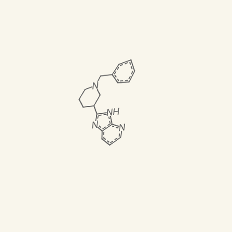 c1ccc(CN2CCCC(c3nc4cccnc4[nH]3)C2)cc1